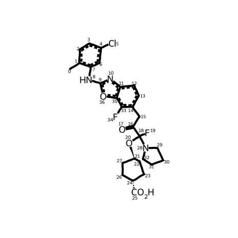 Cc1ccc(Cl)cc1Nc1nc2ccc(CC(=O)C(F)(O[C@H]3CC[C@H](C(=O)O)CC3)N3CCCC3)c(F)c2o1